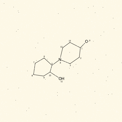 [O]C1CCN(C2CCCCC2O)CC1